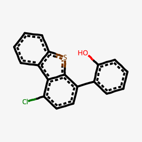 Oc1ccccc1-c1ccc(Cl)c2c1sc1ccccc12